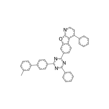 Cc1cccc(-c2ccc(-c3nc(-c4ccccc4)nc(-c4ccc5c(c4)oc4nccc(-c6ccccc6)c45)n3)cc2)c1